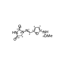 CONc1ccc(/C=N/N2CC(=O)NC2=O)o1